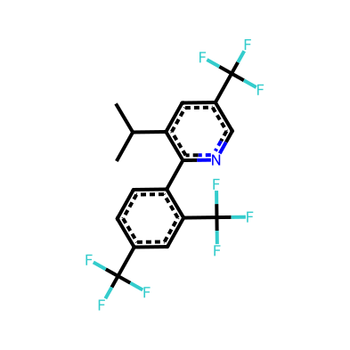 CC(C)c1cc(C(F)(F)F)cnc1-c1ccc(C(F)(F)F)cc1C(F)(F)F